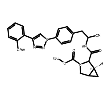 COc1ccccc1-c1cn(-c2ccc(CC(C#N)NC(=O)C3[C@H]4CC4CN3C(=O)OC(C)(C)C)cc2)nn1